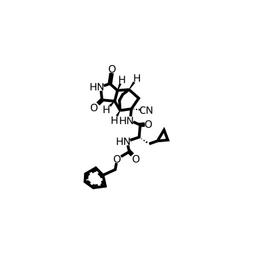 N#C[C@@]1(NC(=O)[C@H](CC2CC2)NC(=O)OCc2ccccc2)C[C@@H]2CC[C@H]1[C@@H]1C(=O)NC(=O)[C@H]21